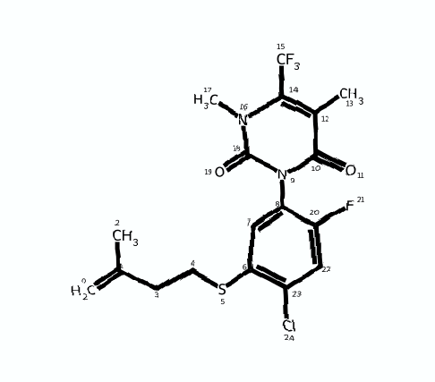 C=C(C)CCSc1cc(-n2c(=O)c(C)c(C(F)(F)F)n(C)c2=O)c(F)cc1Cl